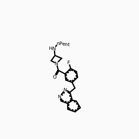 CCCCCNC1CN(C(=O)c2cc(Cc3nncc4ccccc34)ccc2F)C1